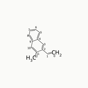 C=Cc1cc2ccccc2cc1C